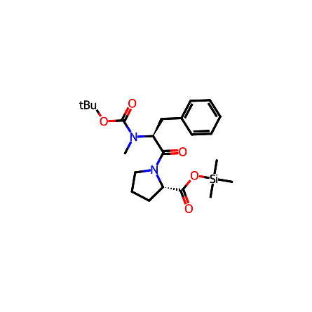 CN(C(=O)OC(C)(C)C)[C@@H](Cc1ccccc1)C(=O)N1CCC[C@H]1C(=O)O[Si](C)(C)C